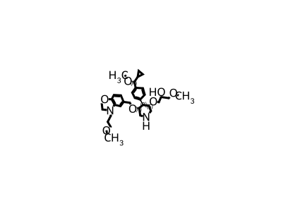 COCCCN1CCOc2ccc(CO[C@H]3CNC[C@@H](OCC(O)COC)[C@@H]3c3ccc([C@H](OC)C4CC4)cc3)cc21